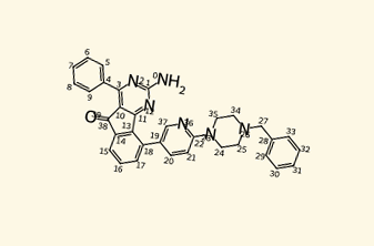 Nc1nc(-c2ccccc2)c2c(n1)-c1c(cccc1-c1ccc(N3CCN(Cc4ccccc4)CC3)nc1)C2=O